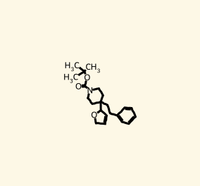 CC(C)(C)OC(=O)N1CCC(CCc2ccccc2)(C2C=CCO2)CC1